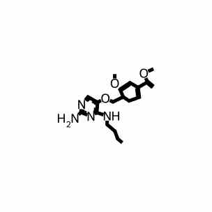 C=C(OC)C1=CCC(COc2cnc(N)nc2NCCCC)C(OC)=C1